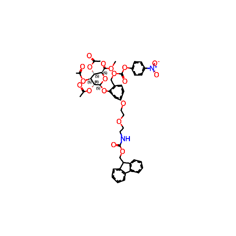 COC(=O)[C@H]1O[C@@H](Oc2cc(OCCOCCNC(=O)OCC3c4ccccc4-c4ccccc43)ccc2COC(=O)Oc2ccc([N+](=O)[O-])cc2)[C@H](OC(C)=O)[C@@H](OC(C)=O)[C@@H]1OC(C)=O